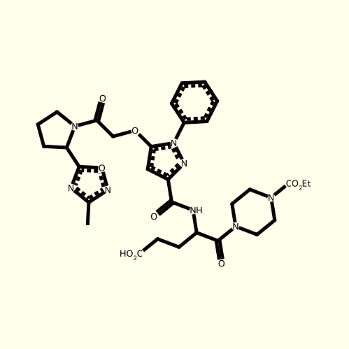 CCOC(=O)N1CCN(C(=O)C(CCC(=O)O)NC(=O)c2cc(OCC(=O)N3CCCC3c3nc(C)no3)n(-c3ccccc3)n2)CC1